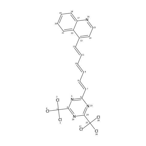 ClC(Cl)(Cl)c1nc(C=CC=CC=Cc2ccnc3ccccc23)nc(C(Cl)(Cl)Cl)n1